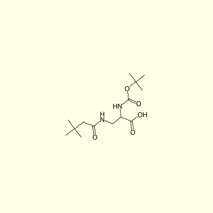 CC(C)(C)CC(=O)NCC(NC(=O)OC(C)(C)C)C(=O)O